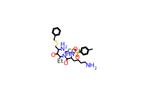 CCC(C(=O)C(N)CSCc1ccccc1)N(CC(=O)O)C(=O)C(CCCCN)NS(=O)(=O)c1ccc(C)cc1